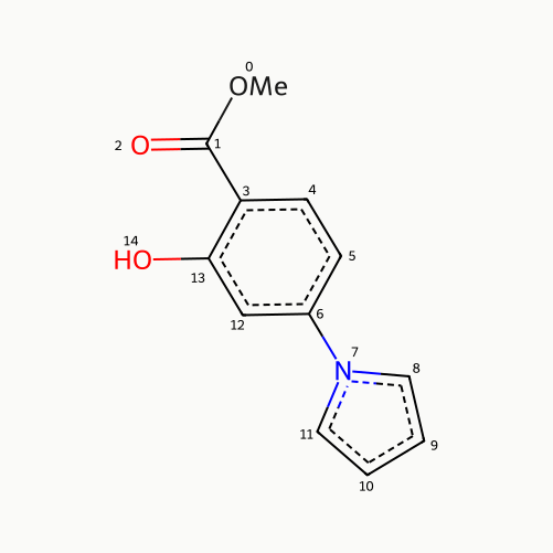 COC(=O)c1ccc(-n2cccc2)cc1O